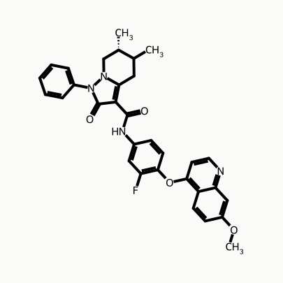 COc1ccc2c(Oc3ccc(NC(=O)c4c5n(n(-c6ccccc6)c4=O)C[C@H](C)C(C)C5)cc3F)ccnc2c1